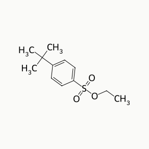 CCOS(=O)(=O)c1ccc(C(C)(C)C)cc1